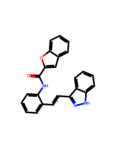 O=C(Nc1ccccc1/C=C/c1n[nH]c2ccccc12)c1cc2ccccc2o1